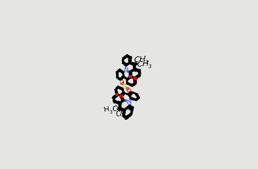 CC1(C)c2ccccc2N(c2ccccc2-c2ccccc2S(=O)(=O)c2ccccc2-c2ccccc2N2c3ccccc3C(C)(C)c3ccccc32)c2ccccc21